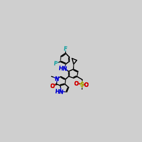 Cn1cc(-c2cc(CS(C)(=O)=O)cc(C3CC3)c2Nc2ccc(F)cc2F)c2cc[nH]c2c1=O